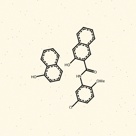 COc1ccc(Cl)cc1NC(=O)c1cc2ccccc2cc1O.Oc1cccc2ccccc12